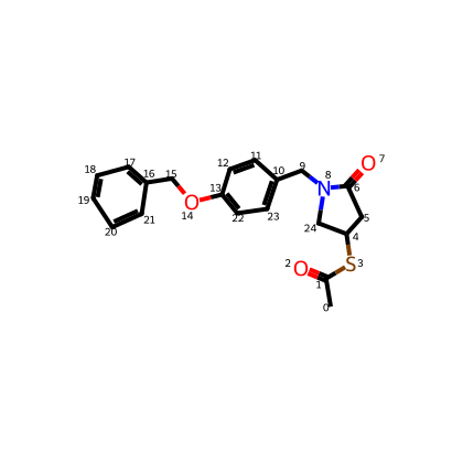 CC(=O)SC1CC(=O)N(Cc2ccc(OCc3ccccc3)cc2)C1